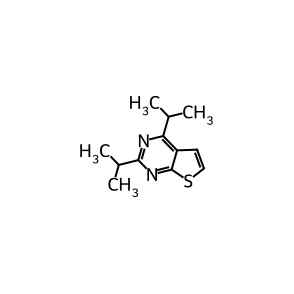 CC(C)c1nc(C(C)C)c2ccsc2n1